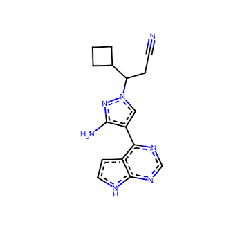 N#CCC(C1CCC1)n1cc(-c2ncnc3[nH]ccc23)c(N)n1